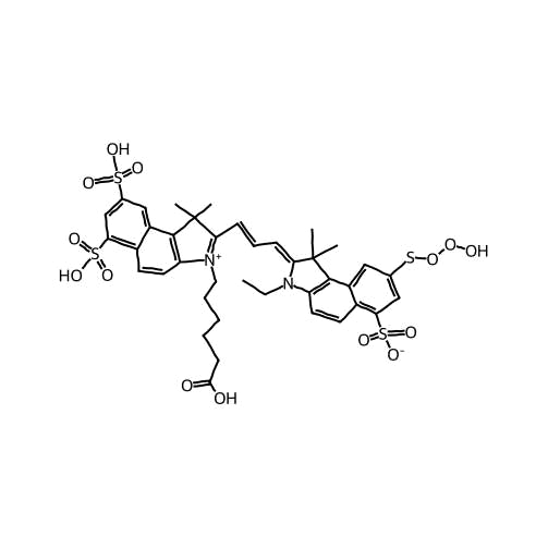 CCN1/C(=C\C=C\C2=[N+](CCCCCC(=O)O)c3ccc4c(S(=O)(=O)O)cc(S(=O)(=O)O)cc4c3C2(C)C)C(C)(C)c2c1ccc1c(S(=O)(=O)[O-])cc(SOOO)cc21